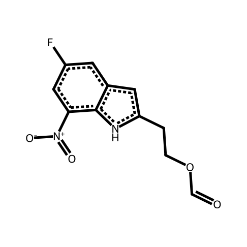 O=COCCc1cc2cc(F)cc([N+](=O)[O-])c2[nH]1